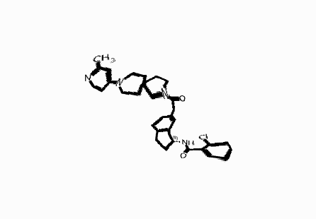 Cc1cc(N2CCC3(CCN(C(=O)c4ccc5c(c4)[C@H](NC(=O)c4ccccc4Cl)CC5)C3)CC2)ccn1